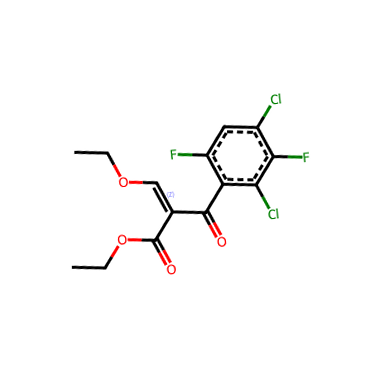 CCO/C=C(\C(=O)OCC)C(=O)c1c(F)cc(Cl)c(F)c1Cl